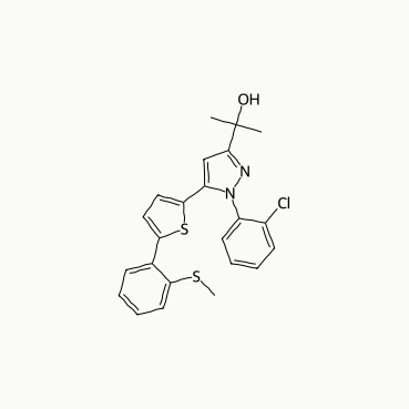 CSc1ccccc1-c1ccc(-c2cc(C(C)(C)O)nn2-c2ccccc2Cl)s1